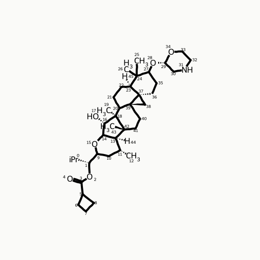 CC(C)[C@@H](OC(=O)C1CCC1)C1C[C@@H](C)[C@H]2C(O1)[C@H](O)[C@@]1(C)C3CC[C@H]4C(C)(C)C(O[C@H]5CNCCO5)CC[C@@]45C[C@@]35CC[C@]21C